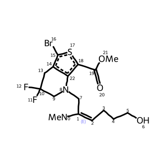 CN/C(=C/CCCO)CN1CC(F)(F)Cc2c(Br)sc(C(=O)OC)c21